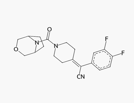 N#CC(=C1CCN(C(=O)N2C3CCC2COC3)CC1)c1ccc(F)c(F)c1